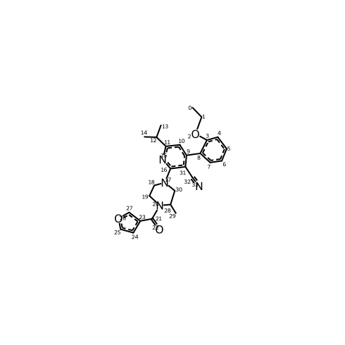 CCOc1ccccc1-c1cc(C(C)C)nc(N2CCN(C(=O)c3ccoc3)C(C)C2)c1C#N